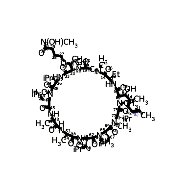 C/C=C/C[C@@H](C)[C@@H](O)[C@H]1C(=O)N[C@@H](CC)C(=O)N(C)CC(=O)N(C)[C@@H]([C@@H](C)OCCCC(=O)N(C)O)C(=O)N[C@@H](C(C)C)C(=O)N(C)[C@@H](CC(C)C)C(=O)N[C@@H](C)C(=O)N[C@H](C)C(=O)N(C)[C@@H](CC(C)C)C(=O)N(C)[C@H](CC(C)C)C(=O)N(C)[C@@H](C(C)C)C(=O)N1C